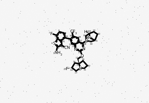 N#Cc1c(N)sc2c(F)ccc(-c3cc4nc(OC[C@@]56CCCN5C[C@H](F)C6)nc(N5CC6CC[C@H](C5)N6)c4cc3C(F)(F)F)c12